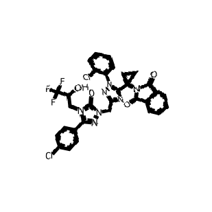 O=C1c2ccccc2C(=O)N1C1(c2nc(Cn3nc(-c4ccc(Cl)cc4)n(CC(O)C(F)(F)F)c3=O)nn2-c2ccccc2Cl)CC1